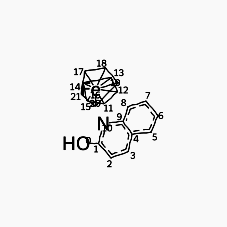 Oc1ccc2ccccc2n1.[CH]12[CH]3[CH]4[CH]5[CH]1[Fe]23451678[CH]2[CH]1[CH]6[CH]7[CH]28